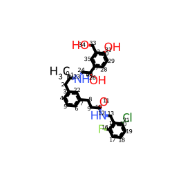 C[C@H](Cc1cccc(CCC(=O)NCc2c(F)cccc2Cl)c1)NC[C@H](O)c1ccc(O)c(CO)c1